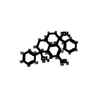 CC1(c2ccccc2)CCN2CCC(C)(c3ccccc3)c3cc([N+](=O)[O-])cc1c32